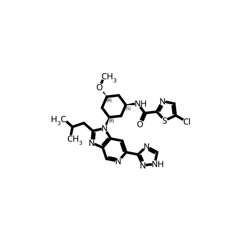 CO[C@@H]1C[C@@H](NC(=O)c2ncc(Cl)s2)C[C@@H](n2c(CC(C)C)nc3cnc(-c4nc[nH]n4)cc32)C1